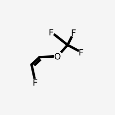 F/C=C\OC(F)(F)F